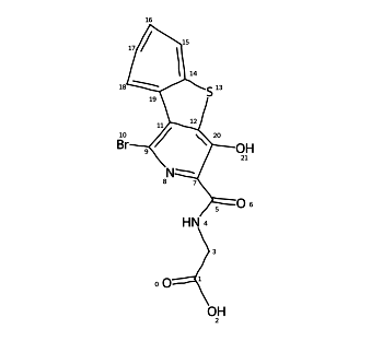 O=C(O)CNC(=O)c1nc(Br)c2c(sc3ccccc32)c1O